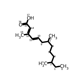 CCC(C)CCCC(C)CC=CC(C)=CC(=O)O